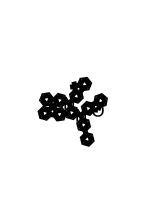 CC1(C)c2ccccc2-c2ccc(N(c3cccc(N(c4ccc(-c5ccccc5)cc4)c4ccc5c(c4)oc4ccccc45)c3)c3cccc(C4(c5ccccc5)c5ccccc5-c5ccccc54)c3)cc21